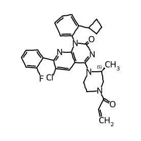 C=CC(=O)N1CCN(c2nc(=O)n(-c3ccccc3C3CCC3)c3nc(-c4ccccc4F)c(Cl)cc23)[C@@H](C)C1